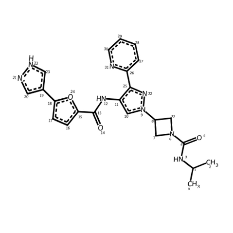 CC(C)NC(=O)N1CC(n2cc(NC(=O)c3ccc(-c4cn[nH]c4)o3)c(-c3ccccn3)n2)C1